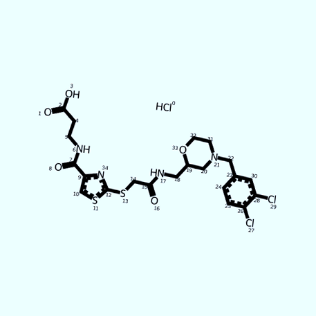 Cl.O=C(O)CCNC(=O)c1csc(SCC(=O)NCC2CN(Cc3ccc(Cl)c(Cl)c3)CCO2)n1